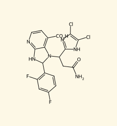 NC(=O)CC(c1nc(Cl)c(Cl)[nH]1)N1c2c(C(=O)O)ccnc2NC1c1ccc(F)cc1F